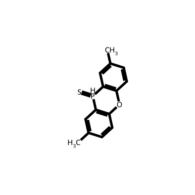 Cc1ccc2c(c1)[PH](=S)c1cc(C)ccc1O2